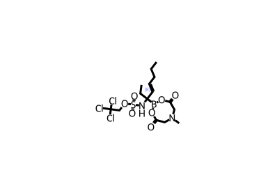 CCC/C=C/C(CC)(NS(=O)(=O)OCC(Cl)(Cl)Cl)B1OC(=O)CN(C)CC(=O)O1